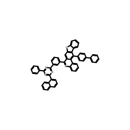 c1ccc(-c2ccc(-c3c4c(cc5c(-c6cccc(-c7nc(-c8ccccc8)nc(-c8cccc9ccccc89)n7)c6)nc6ccccc6c35)oc3ccccc34)cc2)cc1